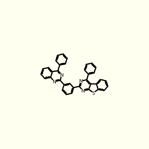 c1ccc(-c2nc(-c3cccc(-c4nc(-c5ccccc5)c5c(n4)sc4ccccc45)c3)nc3ccccc23)cc1